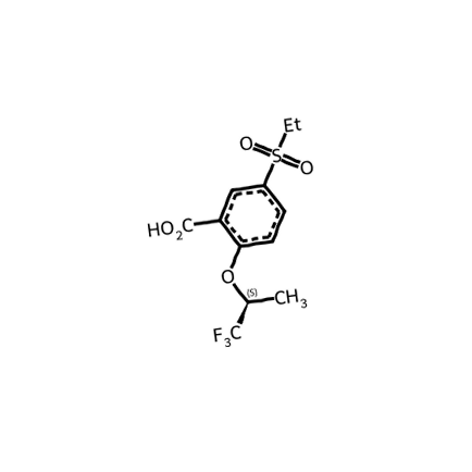 CCS(=O)(=O)c1ccc(O[C@@H](C)C(F)(F)F)c(C(=O)O)c1